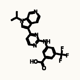 CC(C)n1cc(-c2ccnc(Nc3cc(C(=O)O)cc(C(F)(F)F)c3)n2)c2ccncc21